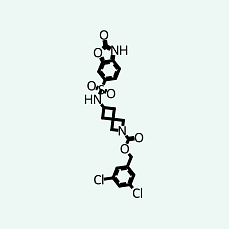 O=C(OCc1cc(Cl)cc(Cl)c1)N1CC2(CC(NS(=O)(=O)c3ccc4[nH]c(=O)oc4c3)C2)C1